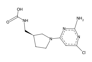 Nc1nc(Cl)cc(N2CC[C@@H](CNC(=O)O)C2)n1